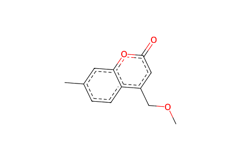 COCc1cc(=O)oc2cc(C)ccc12